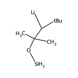 [Li][CH](C(C)(C)C)C(C)(C)O[SiH3]